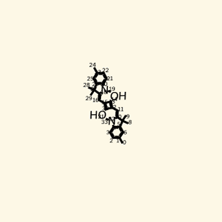 Cc1ccc2c(c1)C(C)(C)C(=CC1=C(O)C(C=C3N(C)c4ccc(C)cc4C3(C)C)=C1O)N2C